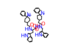 CN(C)C1(c2ccccc2)CCC(CC(=O)NC(Cc2c[nH]c3ccccc23)C(=O)O)CC1.CN(C)C1(c2ccccc2)CCC(CC(=O)NCc2c[nH]c3ccccc23)CC1